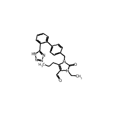 CCCc1c(C=O)n(CC)c(=O)n1Cc1ccc(-c2ccccc2-c2nnn[nH]2)cc1